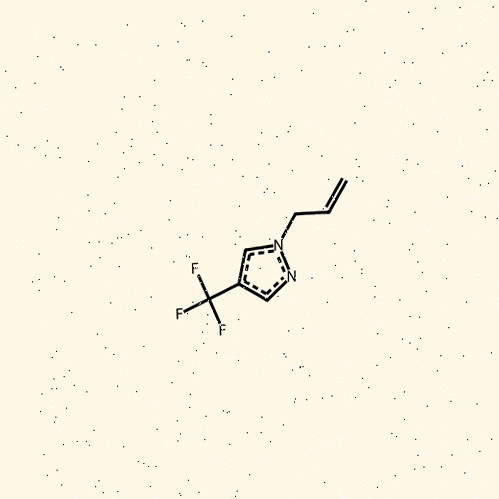 C=CCn1cc(C(F)(F)F)cn1